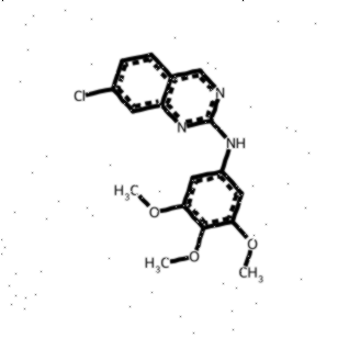 COc1cc(Nc2ncc3ccc(Cl)cc3n2)cc(OC)c1OC